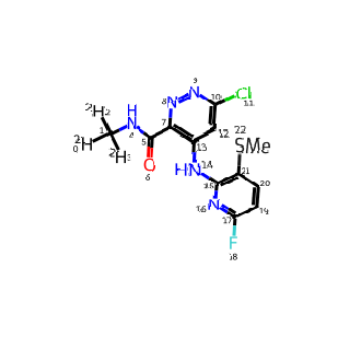 [2H]C([2H])([2H])NC(=O)c1nnc(Cl)cc1Nc1nc(F)ccc1SC